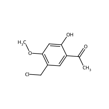 COc1cc(O)c(C(C)=O)cc1CCl